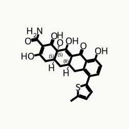 Cc1ccc(-c2ccc(O)c3c2C[C@H]2C[C@H]4CC(O)=C(C(N)=O)C(=O)[C@@]4(O)C(O)=C2C3=O)s1